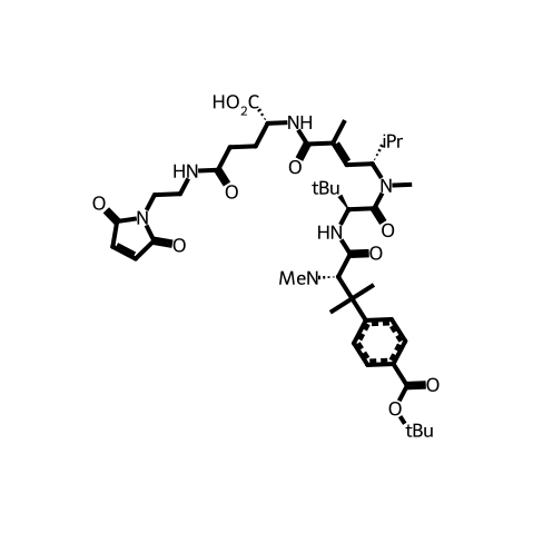 CN[C@H](C(=O)N[C@H](C(=O)N(C)[C@H](/C=C(\C)C(=O)N[C@H](CCC(=O)NCCN1C(=O)C=CC1=O)C(=O)O)C(C)C)C(C)(C)C)C(C)(C)c1ccc(C(=O)OC(C)(C)C)cc1